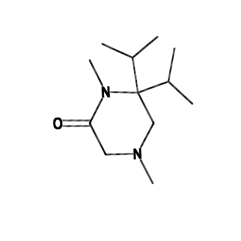 CC(C)C1(C(C)C)CN(C)CC(=O)N1C